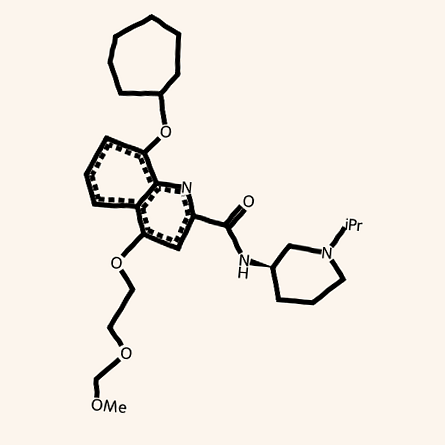 COCOCCOc1cc(C(=O)N[C@@H]2CCCN(C(C)C)C2)nc2c(OC3CCCCCC3)cccc12